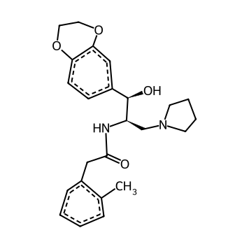 Cc1ccccc1CC(=O)N[C@H](CN1CCCC1)[C@H](O)c1ccc2c(c1)OCCO2